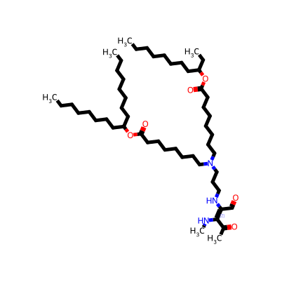 CCCCCCCCC(CC)OC(=O)CCCCCCCN(CCCCCCCC(=O)OC(CCCCCCCC)CCCCCCCC)CCCN/C(C=O)=C(\NC)C(C)=O